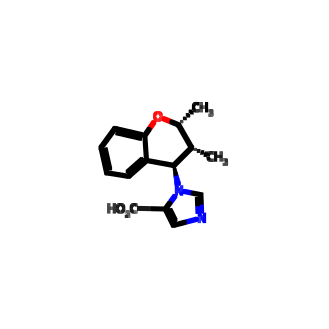 C[C@H]1[C@@H](C)Oc2ccccc2[C@@H]1n1cncc1C(=O)O